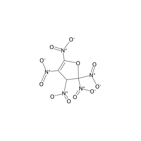 O=[N+]([O-])C1=C([N+](=O)[O-])C([N+](=O)[O-])C([N+](=O)[O-])([N+](=O)[O-])O1